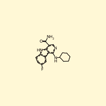 NC(=O)c1cnc(NC2CCCCC2)c2c1[nH]c1ccc(F)cc12